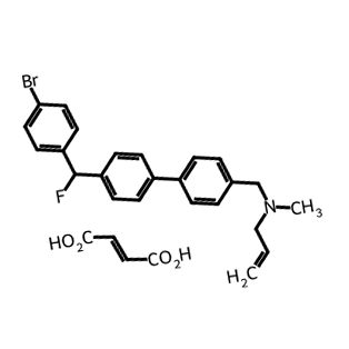 C=CCN(C)Cc1ccc(-c2ccc(C(F)c3ccc(Br)cc3)cc2)cc1.O=C(O)C=CC(=O)O